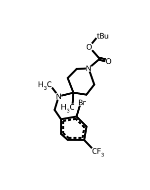 CN(Cc1ccc(C(F)(F)F)cc1Br)C1(C)CCN(C(=O)OC(C)(C)C)CC1